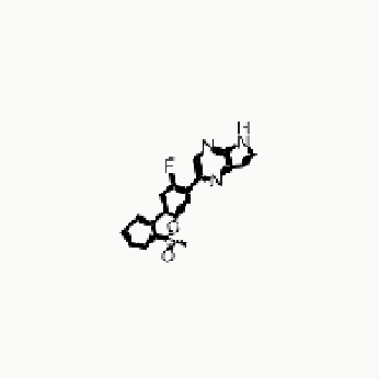 CS(=O)(=O)c1ccccc1-c1ccc(-c2cnc3[nH]ccc3n2)c(F)c1